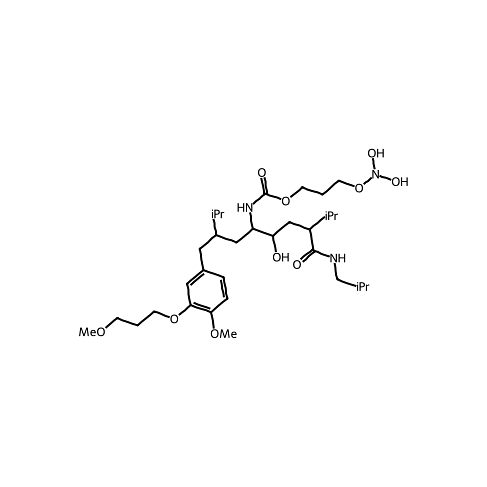 COCCCOc1cc(CC(CC(NC(=O)OCCCON(O)O)C(O)CC(C(=O)NCC(C)C)C(C)C)C(C)C)ccc1OC